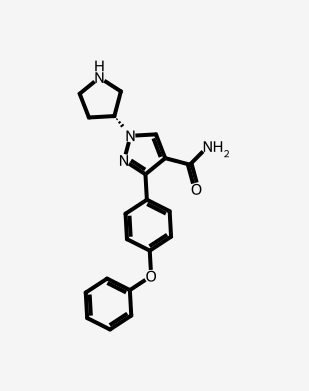 NC(=O)c1cn([C@@H]2CCNC2)nc1-c1ccc(Oc2ccccc2)cc1